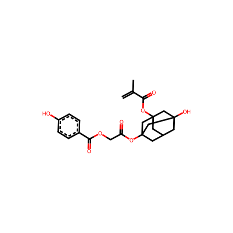 C=C(C)C(=O)OC12CC3CC(O)(CC(OC(=O)COC(=O)c4ccc(O)cc4)(C3)C1)C2